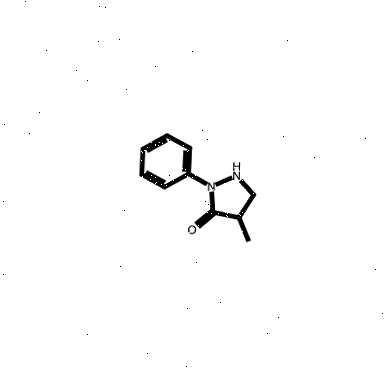 CC1CNN(c2ccccc2)C1=O